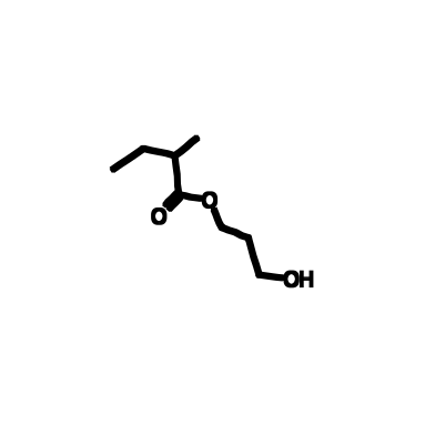 CCC(C)C(=O)OCCCO